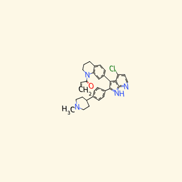 C=CC(=O)N1CCCc2ccc(-c3c(-c4ccc(C5CCN(C)CC5)cc4)[nH]c4nccc(Cl)c34)cc21